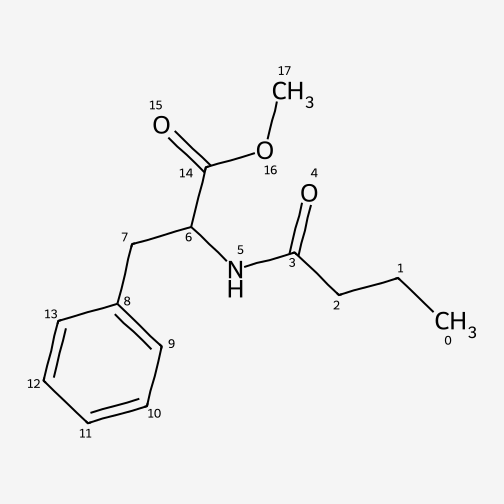 CCCC(=O)NC(Cc1ccccc1)C(=O)OC